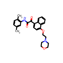 Cc1ccc(C)c(NC(=O)C(=O)c2ccc(OCCN3CCOCC3)c3ccccc23)c1